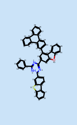 N/C(=N\C(=N/Cc1ccc2c(c1)sc1ccccc12)c1cc(-c2ccc3c4ccccc4c4ccccc4c3c2)c2c(c1)oc1ccccc12)c1ccccc1